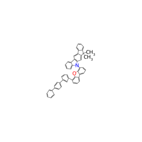 CC1(C)c2ccccc2-c2cc3c4ccccc4n(-c4cccc5c4oc4c(-c6cccc(-c7ccc(-c8ccccc8)cc7)c6)cccc45)c3cc21